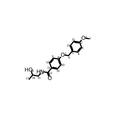 COc1ccc(COc2ccc(C(=O)NCC(C)O)cc2)cc1